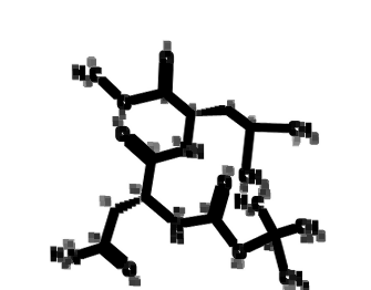 COC(=O)[C@H](CC(C)C)NC(=O)[C@@H](CC(N)=O)NC(=O)OC(C)(C)C